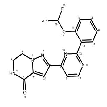 O=C1NCCn2nc(-c3ccnc(-c4ccccc4OC(F)F)n3)cc21